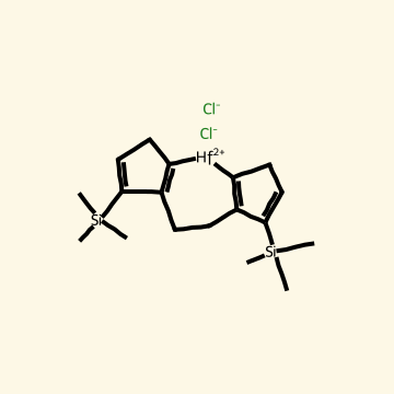 C[Si](C)(C)C1=CC[C]2=C1CCC1=[C](CC=C1[Si](C)(C)C)[Hf+2]2.[Cl-].[Cl-]